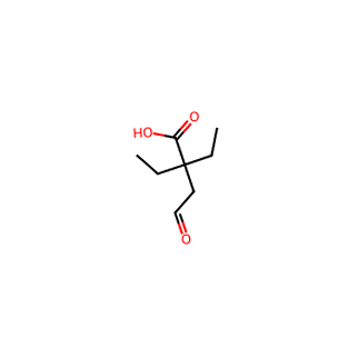 CCC(CC)(CC=O)C(=O)O